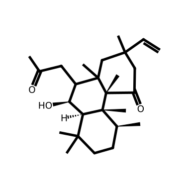 C=CC1(C)CC(=O)[C@@]2(C)C(C)(C1)C(CC(C)=O)[C@H](O)[C@@H]1C(C)(C)CC[C@H](C)[C@]12C